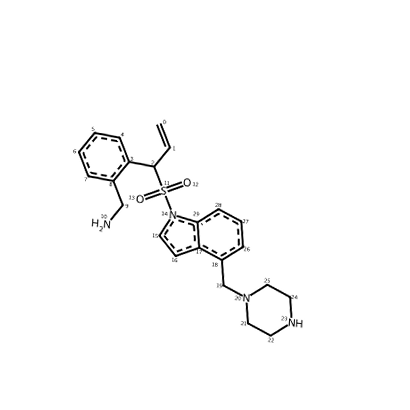 C=CC(c1ccccc1CN)S(=O)(=O)n1ccc2c(CN3CCNCC3)cccc21